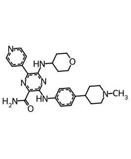 CN1CCC(c2ccc(Nc3nc(NC4CCOCC4)c(-c4ccncc4)nc3C(N)=O)cc2)CC1